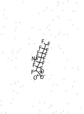 O=S(=O)([O-])C(F)C(F)(F)C(F)(F)C(F)(F)C(F)(F)C(F)(F)C(F)F.[Na+]